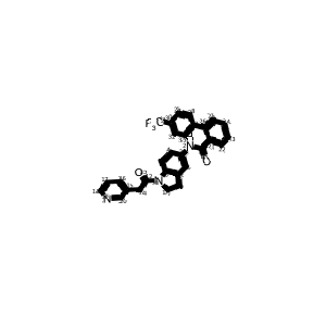 O=C(Nc1ccc2c(c1)CCN2C(=O)Cc1cccnc1)c1ccccc1-c1ccc(C(F)(F)F)cc1